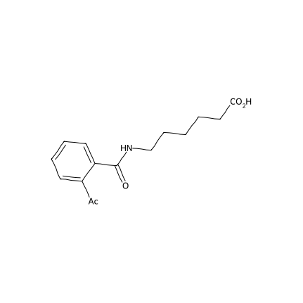 CC(=O)c1ccccc1C(=O)NCCCCCC(=O)O